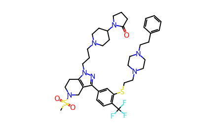 CS(=O)(=O)N1CCc2c(c(-c3ccc(C(F)(F)F)c(SCCN4CCN(CCc5ccccc5)CC4)c3)nn2CCCN2CCC(N3CCCC3=O)CC2)C1